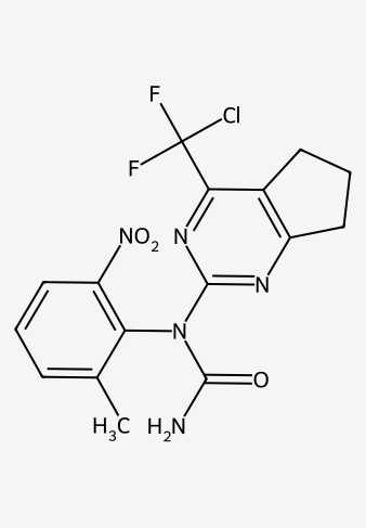 Cc1cccc([N+](=O)[O-])c1N(C(N)=O)c1nc2c(c(C(F)(F)Cl)n1)CCC2